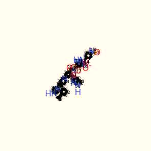 CS(C)(=O)=NC1CCC(CNc2ncc(S(=O)(=O)NC(=O)c3ccc(N4CCC5(CC4)CC(N4CCNC[C@H]4c4ccccc4C4CC4)C5)cc3Oc3cnc4[nH]ccc4c3)cc2[N+](=O)[O-])CC1